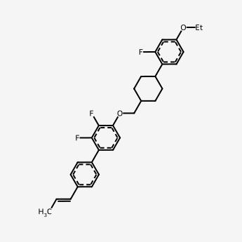 C/C=C/c1ccc(-c2ccc(OCC3CCC(c4ccc(OCC)cc4F)CC3)c(F)c2F)cc1